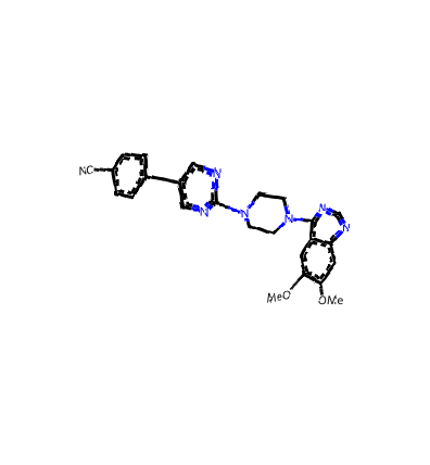 COc1cc2ncnc(N3CCN(c4ncc(-c5ccc(C#N)cc5)cn4)CC3)c2cc1OC